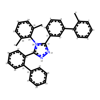 Cc1ccccc1-c1cccc(-c2nnc(-c3ccccc3-c3ccccc3)n2-c2c(C)cccc2C)c1